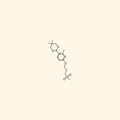 Cc1nc(OCCCS(C)(=O)=O)ccc1B1OCC(C)(C)CO1